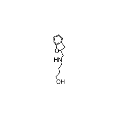 OCCCCNCC1Cc2ccccc2O1